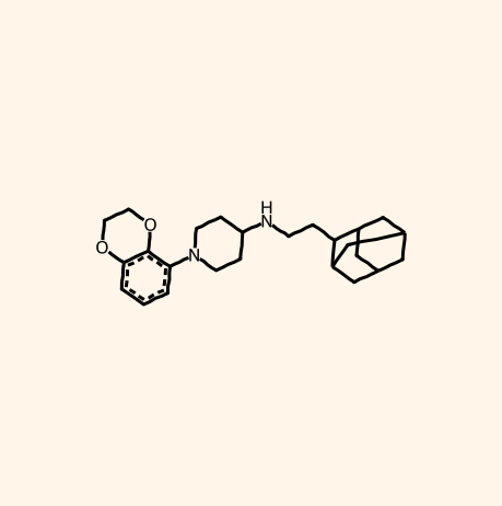 c1cc2c(c(N3CCC(NCCC4C5CC6CC(C5)CC4C6)CC3)c1)OCCO2